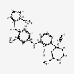 C[C@H]1C[C@@](C#N)(c2cccc(Sc3cnc(Oc4ccnn4C)c(Cl)c3)c2F)CCO1